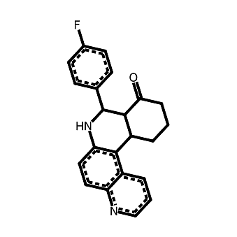 O=C1CCCC2c3c(ccc4ncccc34)NC(c3ccc(F)cc3)C12